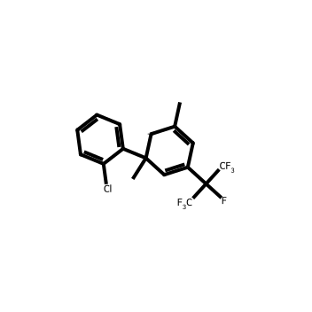 CC1=CC(C(F)(C(F)(F)F)C(F)(F)F)=CC(C)(c2ccccc2Cl)[CH]1